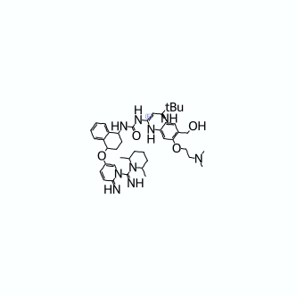 CC1CCCC(C)N1C(=N)n1cc(OC2CCC(NC(=O)N/C(=C/C(=N)C(C)(C)C)Nc3ccc(CO)c(OCCN(C)C)c3)c3ccccc32)ccc1=N